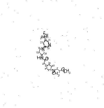 COCCN(C)c1ccc(CC(=O)NC2CCN(c3cncc(C(F)(F)F)c3)C2)cc1